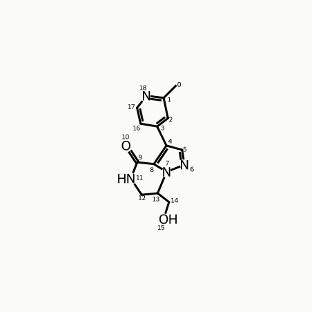 Cc1cc(-c2cnn3c2C(=O)NCC3CO)ccn1